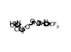 O=C(CCOC[C@@H]1CCCN1c1cn[nH]c(=O)c1C(F)(F)F)N1CCN(c2ccc(C(F)(F)F)cn2)CC1